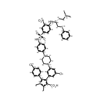 Cc1c(C(=O)O)c(-c2cc(Cl)cc(N3CCN(c4ccc(NS(=O)(=O)c5ccc(N[C@H](CCN(C)C)CSc6ccccc6)c([N+](=O)[O-])c5)cc4)CC3)c2)c(-c2ccc(Cl)cc2)n1C